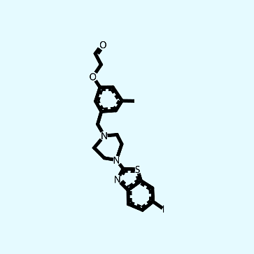 Cc1cc(CN2CCN(c3nc4ccc(I)cc4s3)CC2)cc(OCC=O)c1